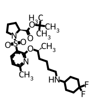 Cc1ccc(S(=O)(=O)N2CCC[C@H]2C(=O)OC(C)(C)C)c(O[C@H](C)CCCCNC2CCC(F)(F)CC2)n1